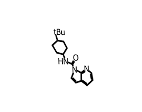 CC(C)(C)C1CCC(NC(=O)n2ccc3cccnc32)CC1